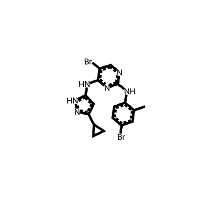 Cc1cc(Br)ccc1Nc1ncc(Br)c(Nc2cc(C3CC3)n[nH]2)n1